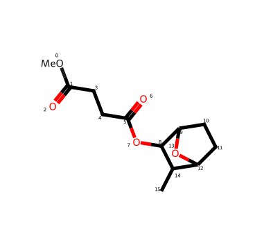 COC(=O)CCC(=O)OC1C2CCC(O2)C1C